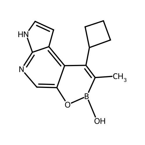 CC1=C(C2CCC2)c2c(cnc3[nH]ccc23)OB1O